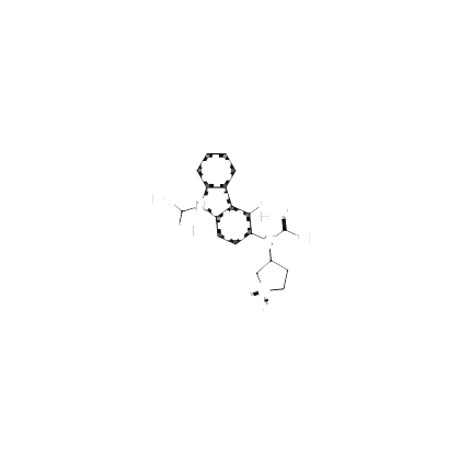 CC(=O)N(c1ccc2c(c1C)c1ccccc1n2C(C)C)C1CCS(=O)(=O)C1